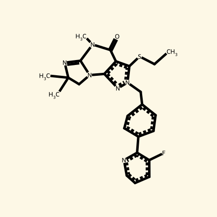 CCSc1c2c(nn1Cc1ccc(-c3ncccc3F)cc1)N1CC(C)(C)N=C1N(C)C2=O